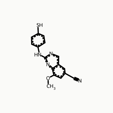 COc1cc(C#N)cc2cnc(Nc3ccc(S)cc3)nc12